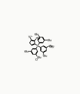 CC(C)(C)C1=[C]([Ti+3])CC=C1[Si](c1cc(C(C)(C)C)cc(C(C)(C)C)c1)(c1cc(C(C)(C)C)cc(C(C)(C)C)c1)c1cc(C(C)(C)C)cc(C(C)(C)C)c1.[Cl-].[Cl-].[Cl-]